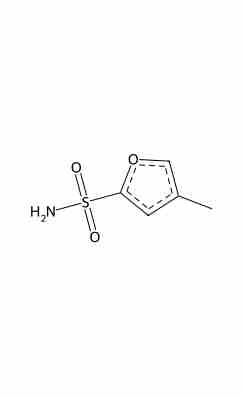 Cc1coc(S(N)(=O)=O)c1